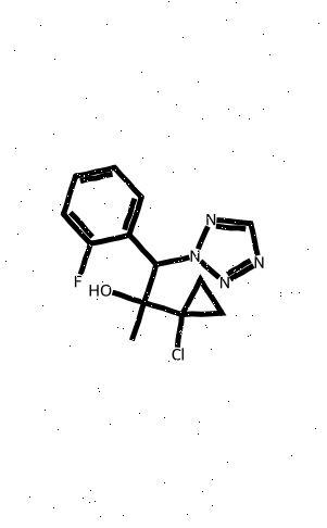 CC(O)(C(c1ccccc1F)n1ncnn1)C1(Cl)CC1